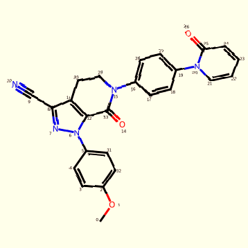 COc1ccc(-n2nc(C#N)c3c2C(=O)N(c2ccc(-n4ccccc4=O)cc2)CC3)cc1